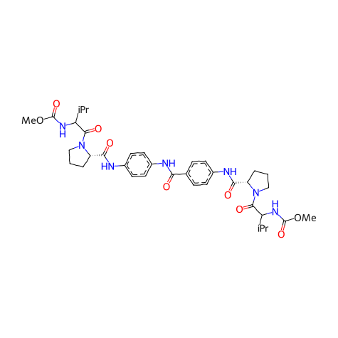 COC(=O)NC(C(=O)N1CCC[C@H]1C(=O)Nc1ccc(NC(=O)c2ccc(NC(=O)[C@@H]3CCCN3C(=O)C(NC(=O)OC)C(C)C)cc2)cc1)C(C)C